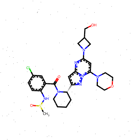 C[S+]([O-])Nc1ccc(Cl)cc1C(=O)N1CCCC[C@H]1c1cc2nc(N3CC(CO)C3)cc(N3CCOCC3)n2n1